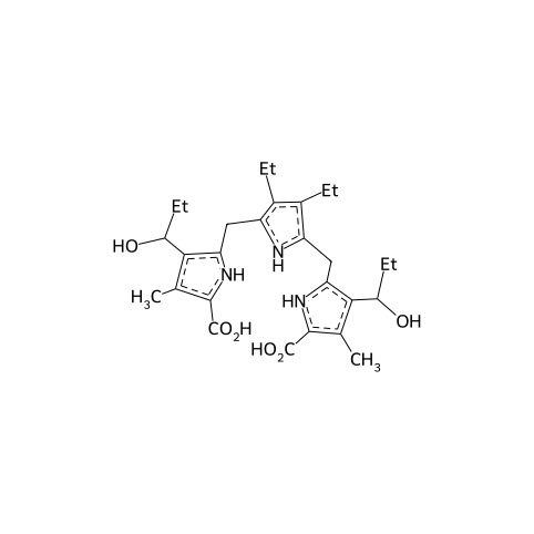 CCc1c(Cc2[nH]c(C(=O)O)c(C)c2C(O)CC)[nH]c(Cc2[nH]c(C(=O)O)c(C)c2C(O)CC)c1CC